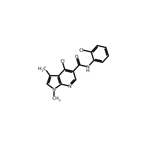 Cc1cn(C)c2ncc(C(=O)Nc3ccccc3Cl)c(Cl)c12